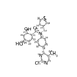 Cc1cnc(Cl)nc1-c1ccc(N(Cc2ccsc2)C(=O)c2ccc(O)cc2O)cc1